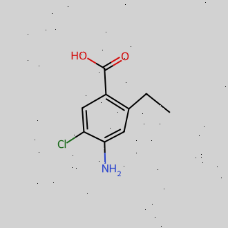 CCc1cc(N)c(Cl)cc1C(=O)O